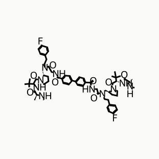 CN[C@@H](C)C(=O)N[C@H](C(=O)N1CCC[C@H]1CN(CCc1ccc(F)cc1)C(=O)CNC(=O)c1ccc(-c2ccc(C(=O)NCC(=O)N(CCc3ccc(F)cc3)C[C@@H]3CCCN3C(=O)[C@@H](NC(=O)[C@H](C)NC)C(C)(C)C)cc2)cc1)C(C)(C)C